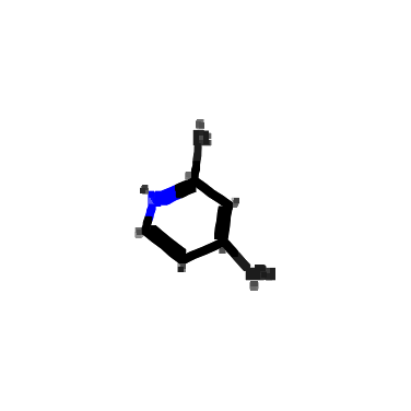 CCCCc1ccnc(CC)c1